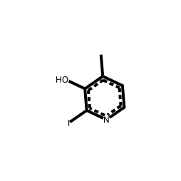 Cc1ccnc(I)c1O